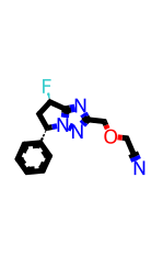 N#CCOCc1nc2n(n1)[C@H](c1ccccc1)C[C@@H]2F